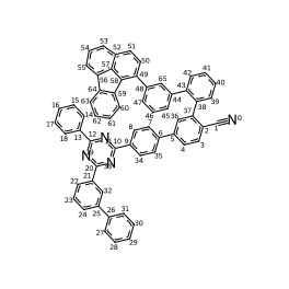 N#Cc1ccc(-c2ccc(-c3nc(-c4ccccc4)nc(-c4cccc(-c5ccccc5)c4)n3)cc2)cc1-c1ccccc1-c1cccc(-c2ccc3cccc4c3c2-c2ccccc2-4)c1